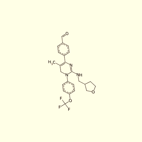 CC1=C(c2ccc(C=O)cc2)N=C(NCC2CCOC2)N(c2ccc(OC(F)(F)F)cc2)C1